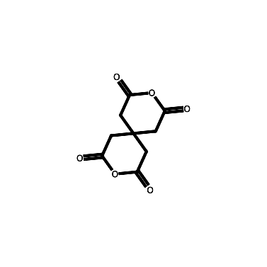 O=C1CC2(CC(=O)O1)CC(=O)OC(=O)C2